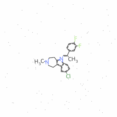 CC(=Cn1c2c(c3cc(Cl)ccc31)CCN(C)CC2)c1ccc(F)c(F)c1